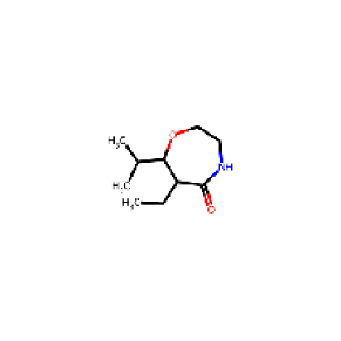 CCC1C(=O)NCCOC1C(C)C